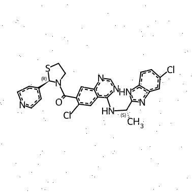 C[C@H](Nc1ncnc2cc(C(=O)N3CCS[C@@H]3c3ccncc3)c(Cl)cc12)c1nc2cc(Cl)ccc2[nH]1